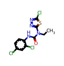 CCN(C(=O)Nc1ccc(Cl)cc1Cl)c1nnc(Cl)s1